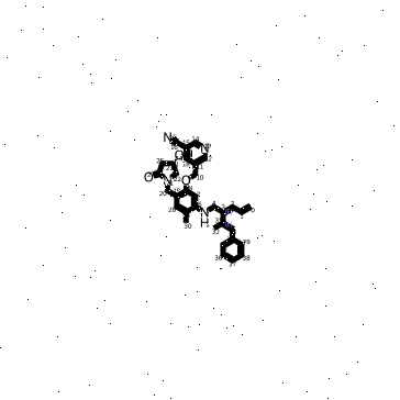 C=C/C=C(CNc1cc(OCc2cncc(C#N)c2)c(CN2C[C@@H](O)CC2=O)cc1C)\C(C)=C\c1ccccc1